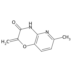 C=C1Oc2ccc(C)nc2NC1=O